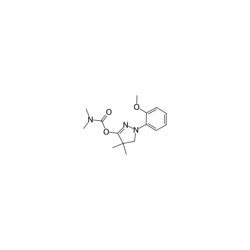 COc1ccccc1N1CC(C)(C)C(OC(=O)N(C)C)=N1